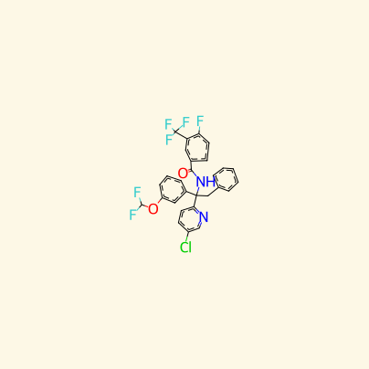 O=C(NC(Cc1ccccc1)(c1cccc(OC(F)F)c1)c1ccc(Cl)cn1)c1ccc(F)c(C(F)(F)F)c1